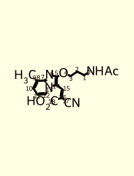 CC(=O)NCCCOc1nc2c(C)cccn2c1C=C(C#N)C(=O)O